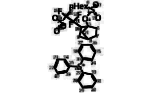 CCCCCCS(=O)(=O)OC12CCC(CC1C(F)(F)C(F)(F)S(=O)(=O)[O-])C2.c1ccc([S+](c2ccccc2)c2ccccc2)cc1